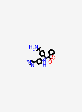 Cn1cnc(-c2ccc(N/C(=C3\C(=O)Oc4ccccc43)c3ccc(C(C)(C)N)cc3)cc2)c1